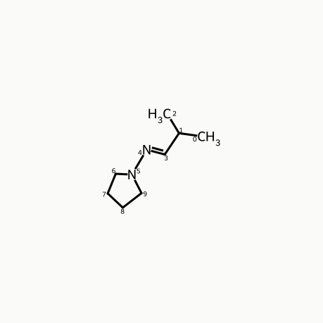 CC(C)/C=N/N1CCCC1